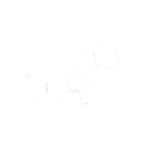 COC(=O)C(Cc1ccc(N2CCN(C)CC2=O)cc1OC)C(C)=O